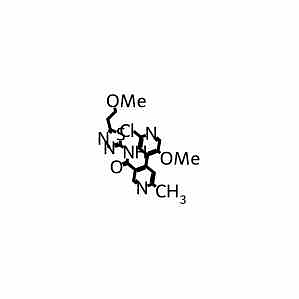 COCCc1nnc(NC(=O)c2cnc(C)cc2-c2cc(Cl)ncc2OC)s1